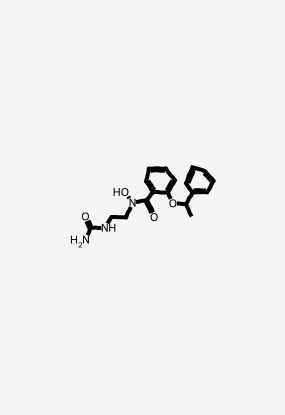 CC(Oc1ccccc1C(=O)N(O)CCNC(N)=O)c1ccccc1